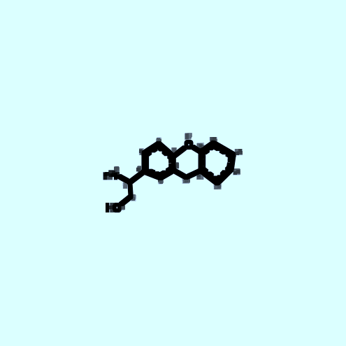 CCCC(CO)c1ccc2c(c1)Cc1ccccc1O2